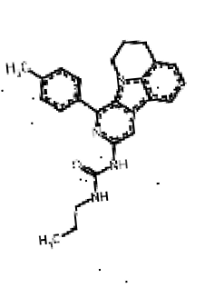 CCCNC(=O)Nc1cc2c3cccc4c3n(c2c(-c2ccc(C)cc2)n1)CCC4